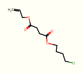 C=CCOC(=O)CCC(=O)OCCCCCl